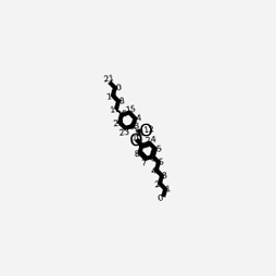 CCCCCCc1ccc(OC(=O)[C@H]2CC[C@H](CCCCC)CC2)cc1